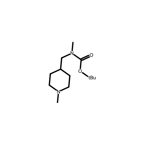 CN1CCC(CN(C)C(=O)OC(C)(C)C)CC1